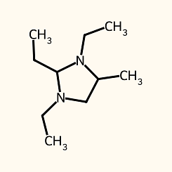 CCC1N(CC)CC(C)N1CC